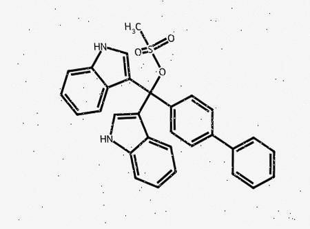 CS(=O)(=O)OC(c1ccc(-c2ccccc2)cc1)(c1c[nH]c2ccccc12)c1c[nH]c2ccccc12